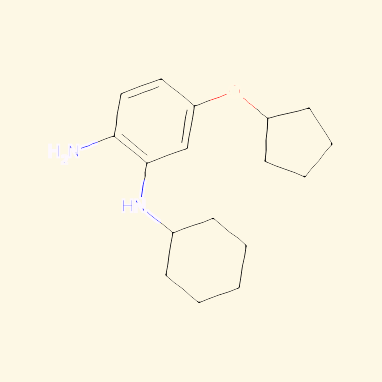 Nc1ccc(OC2CCCC2)cc1NC1CCCCC1